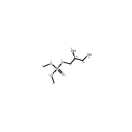 COP(=O)(OC)OC[C@@H](O)CO